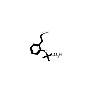 CC(C)(Oc1ccccc1CCO)C(=O)O